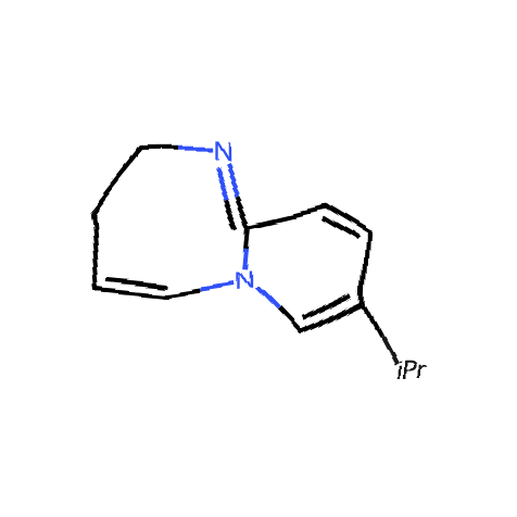 CC(C)C1=CN2C=CCCN=C2C=C1